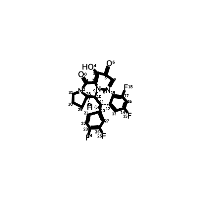 O=C1c2c(O)c(=O)cnn2[C@@H]([C@H](c2cc(F)cc(F)c2)c2ccc(F)c(F)c2)[C@H]2CCCN12